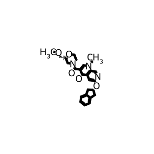 CCn1cc(C(=O)N2CCO[C@@H](COC)C2)c(=O)c2cc(OC3Cc4ccccc4C3)ncc21